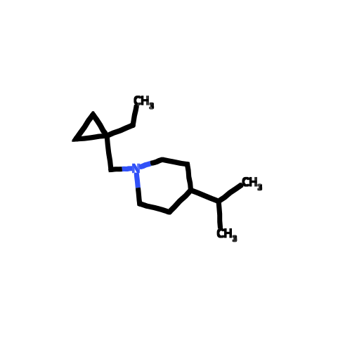 CCC1(CN2CCC(C(C)C)CC2)CC1